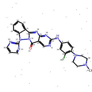 CN1CCN(c2ccc(Nc3ncc4c(=O)n5c(nc4n3)c3ccccc3n5-c3ncccn3)cc2F)CC1